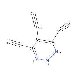 C#Cc1nnnc(C#C)c1C#C